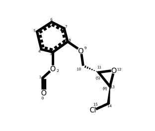 O=COc1ccccc1OC[C@@H]1O[C@H]1CCl